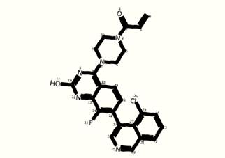 C=CC(=O)N1CCN(c2nc(O)nc3c(F)c(-c4cncc5cccc(Cl)c45)ccc23)CC1